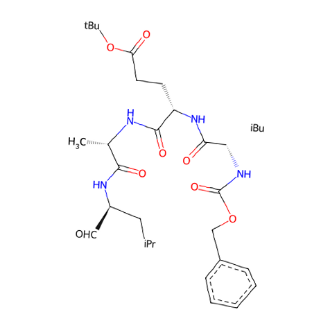 CC[C@H](C)[C@H](NC(=O)OCc1ccccc1)C(=O)N[C@@H](CCC(=O)OC(C)(C)C)C(=O)N[C@@H](C)C(=O)N[C@H](C=O)CC(C)C